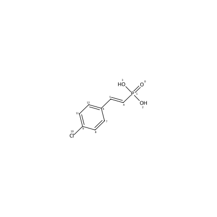 O=P(O)(O)C=Cc1ccc(Cl)cc1